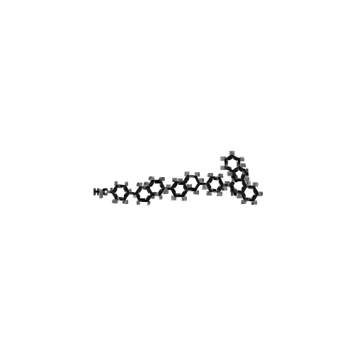 Cc1ccc(-c2ccc3cc(-c4ccc5c(c4)=CCC(c4ccc(-c6nc7ccccc7c7nc8ccccc8n67)cc4)C=5)ccc3c2)cc1